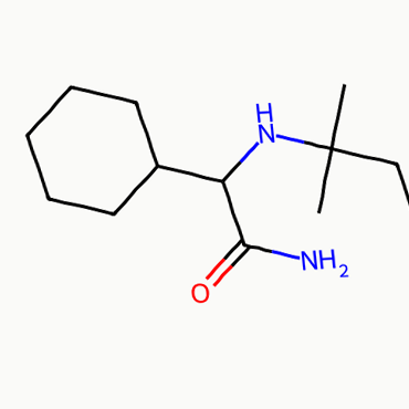 CCC(C)(C)NC(C(N)=O)C1CCCCC1